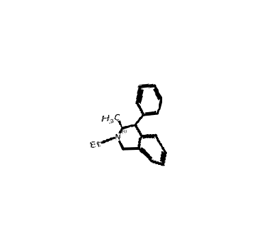 CCN1Cc2ccccc2C(c2ccccc2)[C@@H]1C